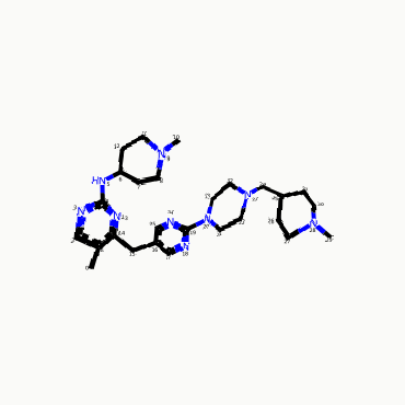 Cc1cnc(NC2CCN(C)CC2)nc1Cc1cnc(N2CCN(CC3CCN(C)CC3)CC2)nc1